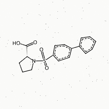 O=C(O)[C@H]1CCCN1S(=O)(=O)c1ccc(-c2ccccc2)cc1